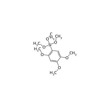 COc1cc(OC)c([Si](OC)(OC)OC)cc1OC